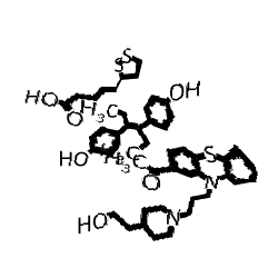 CC(=O)c1ccc2c(c1)N(CCCN1CCC(CCO)CC1)c1ccccc1S2.CC/C(=C(/CC)c1ccc(O)cc1)c1ccc(O)cc1.O=C(O)CCCC[C@@H]1CCSS1